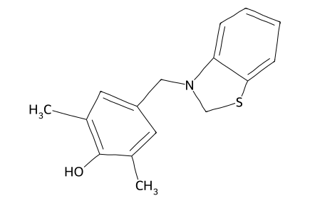 Cc1cc(CN2CSc3ccccc32)cc(C)c1O